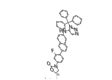 CC(=O)NC[C@H]1CN(c2ccc(-c3ccc4cc(Nc5cnnn5C(c5ccccc5)(c5ccccc5)c5ccccc5)ccc4c3)c(F)c2)C(=O)O1